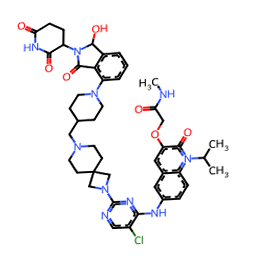 CNC(=O)COc1cc2cc(Nc3nc(N4CC5(CCN(CC6CCN(c7cccc8c7C(=O)N(C7CCC(=O)NC7=O)C8O)CC6)CC5)C4)ncc3Cl)ccc2n(C(C)C)c1=O